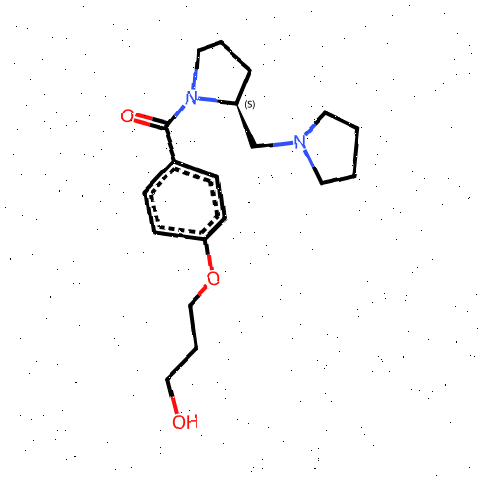 O=C(c1ccc(OCCCO)cc1)N1CCC[C@H]1CN1CCCC1